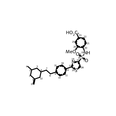 C=C1CC(C)CC(CCc2ccc(-c3nc(S(=O)(=O)Nc4ccc(C(=O)O)cc4OC)cs3)cc2)C1